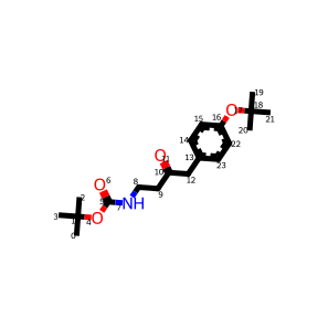 CC(C)(C)OC(=O)NCCC(=O)Cc1ccc(OC(C)(C)C)cc1